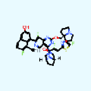 C#Cc1c(F)ccc2cc(O)cc(-c3ncc4c(N5C[C@H]6CC[C@@H](C5)N6C(=O)/C(F)=C/c5nccs5)nc(OC[C@@]56CCCN5C[C@H](F)C6)nc4c3F)c12